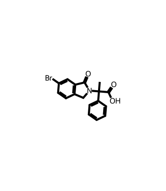 CC(C(=O)O)(c1ccccc1)N1Cc2ccc(Br)cc2C1=O